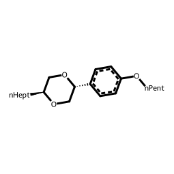 CCCCCCC[C@H]1CO[C@H](c2ccc(OCCCCC)cc2)CO1